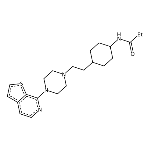 CCC(=O)NC1CCC(CCN2CCN(c3nccc4ccsc34)CC2)CC1